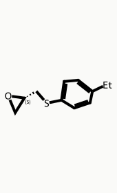 CCc1ccc(SC[C@@H]2CO2)cc1